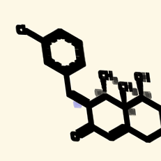 C[C@H]1/C(=C\c2cccc(Cl)c2)C(=O)C=C2CCC[C@H](O)[C@]21C